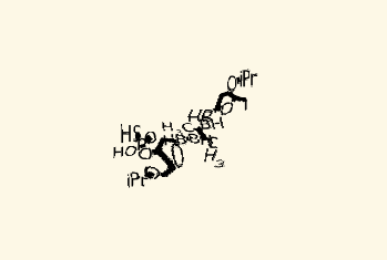 CC(C)OCC1OC(BB[C@@H](C)[C@@H](C)BBC2CC(OC(C)C)C(CI)O2)CC1OP(=O)(O)S